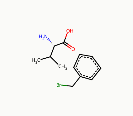 BrCc1ccccc1.CC(C)[C@H](N)C(=O)O